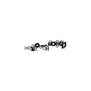 CN1CCN(C)c2ncc(S(=O)(=O)N3CCC4(CC3)CC(NCC(O)COc3cccc(S(=O)(=O)C5(CO)CC5)c3)CO4)cc21